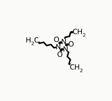 C=CCCCCn1c(=O)n(CCC=C)c(=O)n(CCCC=C)c1=O